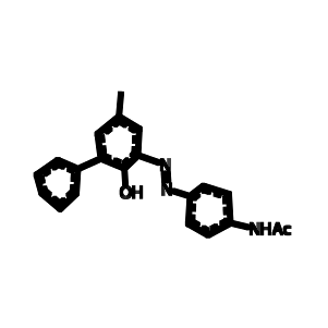 CC(=O)Nc1ccc(N=Nc2cc(C)cc(-c3ccccc3)c2O)cc1